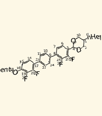 CCCCCCCC1COC(c2ccc(-c3ccc(-c4ccc(OCCCCC)c(F)c4F)cc3)c(F)c2F)OC1